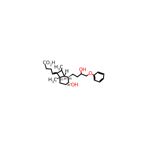 CC1C(=CCCC(=O)O)[C@@]2(C)CC[C@@H](O)[C@H](CCC(O)COc3ccccc3)[C@@H]12